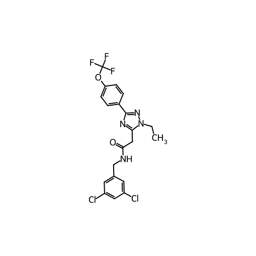 CCn1nc(-c2ccc(OC(F)(F)F)cc2)nc1CC(=O)NCc1cc(Cl)cc(Cl)c1